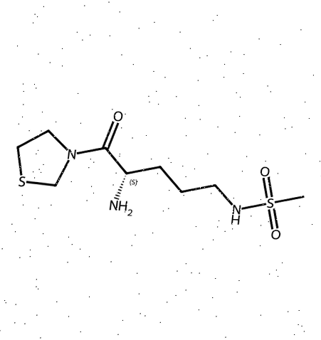 CS(=O)(=O)NCCC[C@H](N)C(=O)N1CCSC1